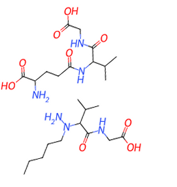 CC(C)C(NC(=O)CCC(N)C(=O)O)C(=O)NCC(=O)O.CCCCCN(N)C(C(=O)NCC(=O)O)C(C)C